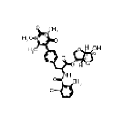 Cc1cccc(Cl)c1C(=O)NC(Cc1ccc(-c2c(C)n(C)c(=O)n(C)c2=O)cc1)C(=O)O[C@H]1CO[C@H]2[C@@H]1OC[C@@H]2O